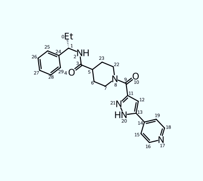 CC[C@H](NC(=O)C1CCN(C(=O)c2cc(-c3ccncc3)[nH]n2)CC1)c1ccccc1